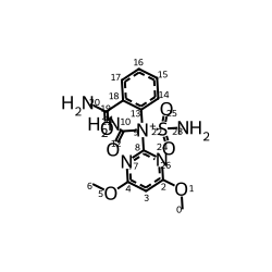 COc1cc(OC)nc([N+](C(N)=O)(c2ccccc2C(N)=O)S(N)(=O)=O)n1